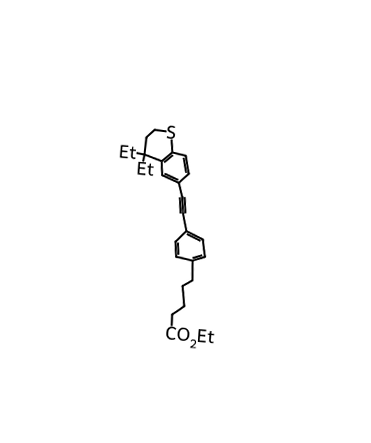 CCOC(=O)CCCCc1ccc(C#Cc2ccc3c(c2)C(CC)(CC)CCS3)cc1